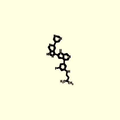 CN(C)CCNc1cc(F)cc(-c2cncc3[nH]c(-c4n[nH]c5cnc(-c6cncnc6)cc45)cc23)c1